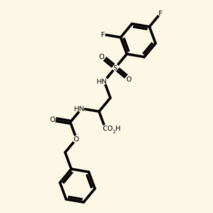 O=C(NC(CNS(=O)(=O)c1ccc(F)cc1F)C(=O)O)OCc1ccccc1